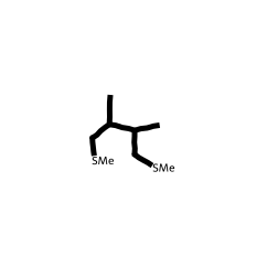 CSCC(C)C(C)CSC